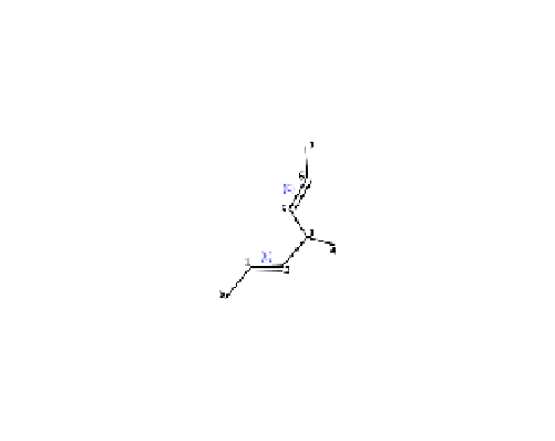 C/C=C/C(C)/C=C/C